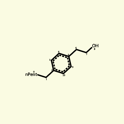 CCCCCCc1ccc(CCO)cc1